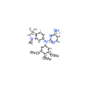 COc1cc(N(c2ccc3c(c2)N(C(C)=O)CC3(C)C)c2nccc(N)n2)cc(OC)c1OC